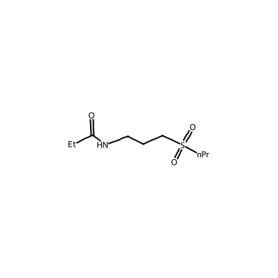 CCCS(=O)(=O)CCCNC(=O)CC